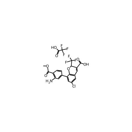 COC(=O)c1ccc(-c2cc(Cl)cc3c2OC(C(F)(F)F)C(C(=O)O)=C3)cc1N.O=C(O)C(F)(F)F